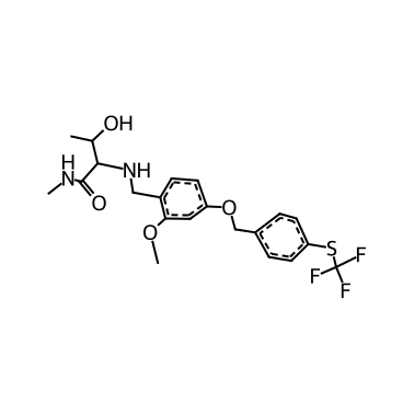 CNC(=O)C(NCc1ccc(OCc2ccc(SC(F)(F)F)cc2)cc1OC)C(C)O